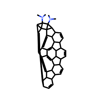 CN(C)C12C3C4C=CC5C6C=CC7C8C=CC9C%10C=CC%11C%12C%13=C%14C%15=C(C9C8C8=C%15C9=C(C6C87)C5C4C(=C9%14)C31C%131C%11C12N(C)C)C%10%12